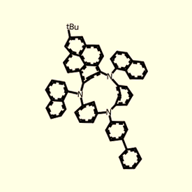 CC(C)(C)c1cc2ccc3c4cc(c5ccc(c1)c2c35)N(c1cccc2ccccc12)c1cccc(c1)N(c1ccc(-c2ccccc2)cc1)c1cccc(c1)N4c1cccc2ccccc12